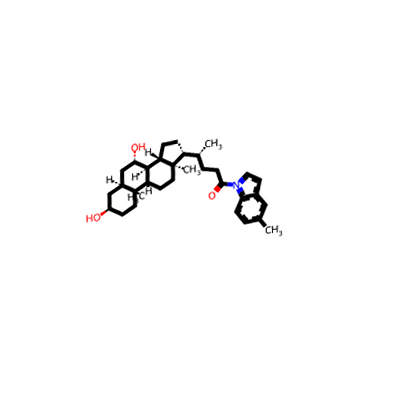 Cc1ccc2c(ccn2C(=O)CC[C@@H](C)[C@H]2CC[C@H]3[C@@H]4[C@@H](O)C[C@@H]5C[C@H](O)CC[C@]5(C)[C@H]4CC[C@]23C)c1